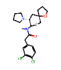 CN(C(=O)Cc1ccc(Cl)c(Cl)c1)C1CC[C@]2(CCCO2)C[C@H]1N1CCCC1